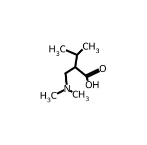 CC(C)C(CN(C)C)C(=O)O